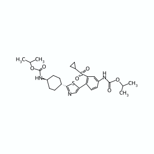 CC(C)OC(=O)Nc1ccc(-c2cnc([C@H]3CC[C@H](NC(=O)OC(C)C)CC3)s2)c(S(=O)(=O)C2CC2)c1